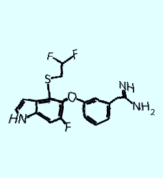 N=C(N)c1cccc(Oc2c(F)cc3[nH]ccc3c2SCC(F)F)c1